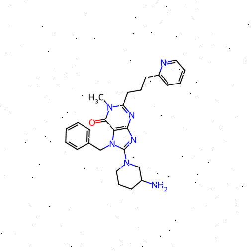 Cn1c(CCCc2ccccn2)nc2nc(N3CCCC(N)C3)n(Cc3ccccc3)c2c1=O